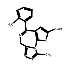 CCCCCCCCc1cc2c(s1)-n1c(C)nnc1CN=C2c1ccccc1C